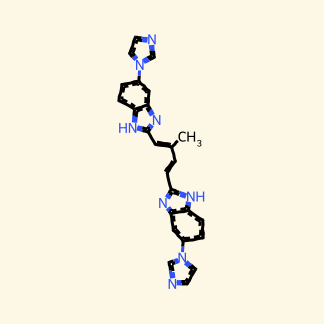 CC(C=Cc1nc2cc(-n3ccnc3)ccc2[nH]1)=Cc1nc2cc(-n3ccnc3)ccc2[nH]1